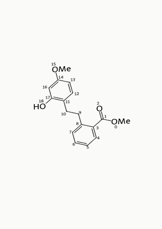 COC(=O)c1ccccc1CCc1ccc(OC)cc1O